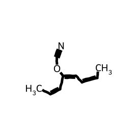 C\C=C/C=C(\C=C/C)OC#N